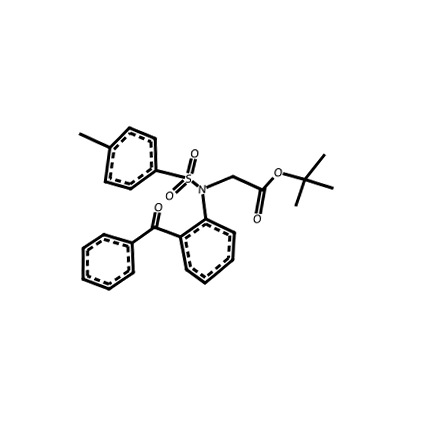 Cc1ccc(S(=O)(=O)N(CC(=O)OC(C)(C)C)c2ccccc2C(=O)c2ccccc2)cc1